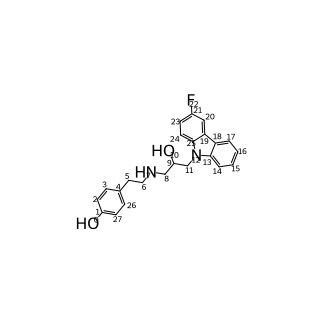 Oc1ccc(CCNCC(O)Cn2c3ccccc3c3cc(F)ccc32)cc1